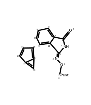 CCCCCON=C1NC(=O)c2ccccc21.c1cc2cc-2c1